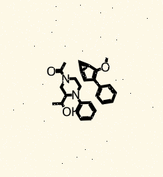 CC(=O)N1CCN(c2ccccc2)C(C(C)O)C1.COc1c(-c2ccccc2)cc2cc1-2